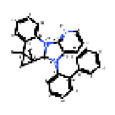 CC12CC1(C)C1N(c3ccccc3-c3ccccc3)c3cccnc3N1c1ccccc12